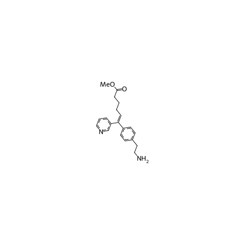 COC(=O)CCCC=C(c1ccc(CCN)cc1)c1cccnc1